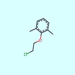 Cc1cccc(C)c1OCCCl